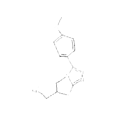 COc1ccc(-c2nnc3n2CC(CBr)S3)cc1